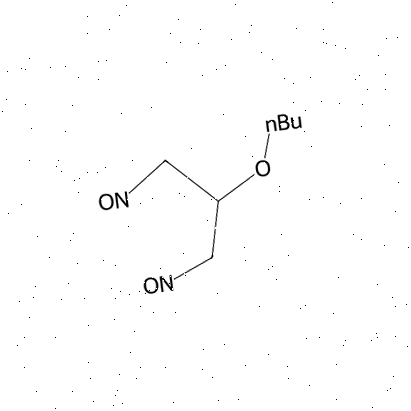 CCCCOC(CN=O)CN=O